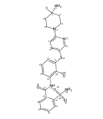 CC1(N)CCN(c2cnc(Sc3cccc(NC(=O)c4ccccc4S(N)(=O)=O)c3Cl)cn2)CC1